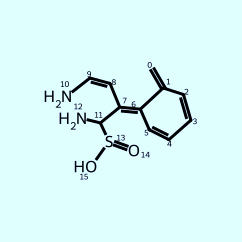 C=c1cccc/c1=C(/C=C\N)C(N)S(=O)O